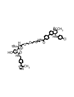 CC(=O)N1c2ccc(-c3ccc(C(=O)NCCOCCOCCOCC(=O)N[C@H](C(=O)N4C[C@H](O)C[C@H]4C(=O)NCc4ccc(-c5scnc5C)cc4)C(C)(C)C)cc3)cc2[C@H](Nc2ccc(Cl)cc2)C[C@@H]1C